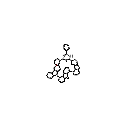 C1=c2sc3cccc(-c4cccc5c4sc4cccc(-n6c7ccccc7c7ccccc76)c45)c3c2=CC(C2N=C(c3ccccc3)N=C(c3ccccc3)N2)C1